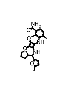 Cc1ccc(C(Nc2c(Nc3c(C)ccc(C(N)=O)c3C)c(=O)c2=O)C2CCCS2)o1